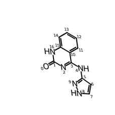 O=c1nc(Nc2cc[nH]n2)c2ccccc2[nH]1